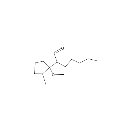 CCCCCC(C=O)C1(OC)CCCC1C